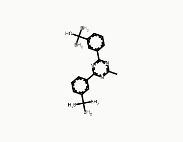 BC(B)(B)c1cccc(-c2nc(C)nc(-c3cccc(C(B)(B)O)c3)n2)c1